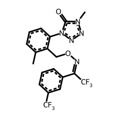 Cc1cccc(-n2nnn(C)c2=O)c1CO/N=C(\c1cccc(C(F)(F)F)c1)C(F)(F)F